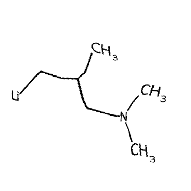 [Li][CH2]C(C)CN(C)C